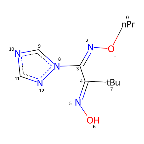 CCCON=C(C(=NO)C(C)(C)C)n1cncn1